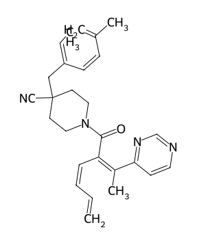 C=C/C=C\C(C(=O)N1CCC(C#N)(CC(/C=C\C(=C)C)=C/C)CC1)=C(/C)c1ccncn1